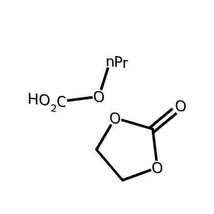 CCCOC(=O)O.O=C1OCCO1